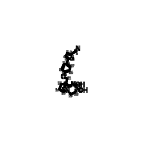 N#Cc1ccc(-c2ccc(OCC34CCC(CC3)N3CCS(O)(O)N=C34)cc2)s1